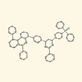 O=P(c1ccccc1)(c1ccccc1)c1ccc(-c2cc(-c3ccc(-c4cccc5c4nc(-c4ccccc4)c4cccc(-c6ccccc6)c45)cc3)nc(-c3ccccc3)n2)cc1